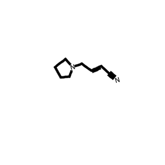 N#CC=CCN1CCCC1